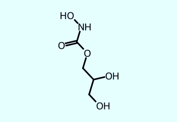 O=C(NO)OCC(O)CO